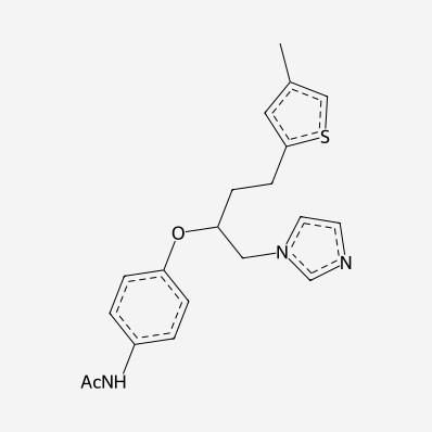 CC(=O)Nc1ccc(OC(CCc2cc(C)cs2)Cn2ccnc2)cc1